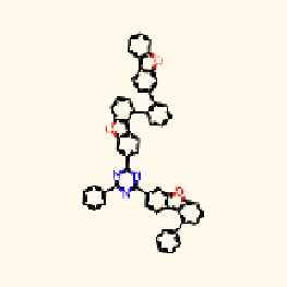 c1ccc(-c2nc(-c3ccc4c(c3)oc3cccc(-c5ccccc5)c34)nc(-c3ccc4c(c3)oc3cccc(-c5ccccc5-c5ccc6c(c5)oc5ccccc56)c34)n2)cc1